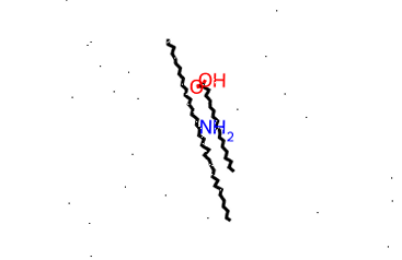 CCCCCCCCCCCCCCCCCC(=O)O.CCCCCCCCCCCCCCCCCCC(N)CCCCCCCCCCCCCCCCCC